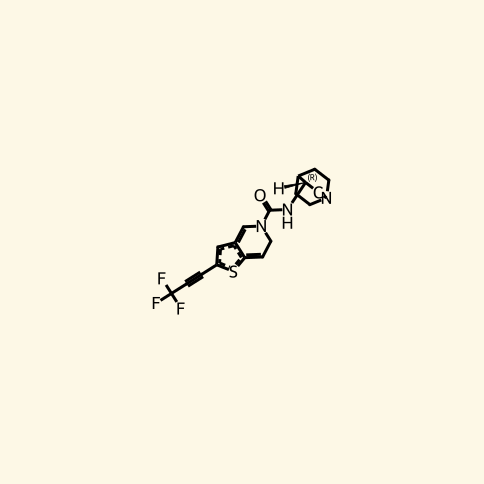 O=C(N[C@H]1CN2CCC1CC2)N1C=c2cc(C#CC(F)(F)F)sc2=CC1